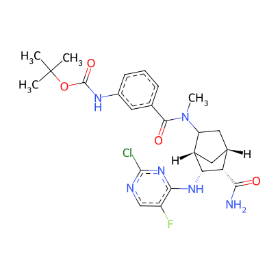 CN(C(=O)c1cccc(NC(=O)OC(C)(C)C)c1)C1C[C@H]2C[C@@H]1[C@@H](Nc1nc(Cl)ncc1F)[C@H]2C(N)=O